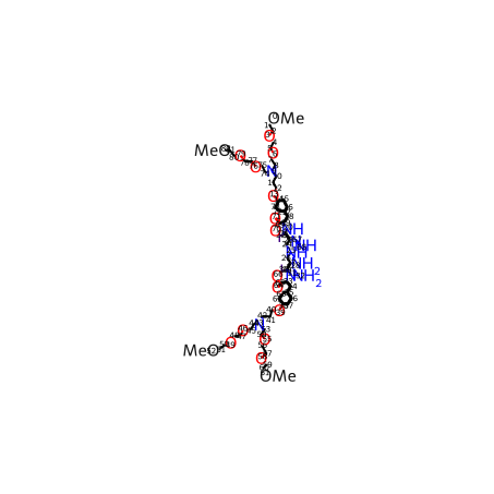 COCCOCCOCCN(CCCOc1ccc2cc(N/C(I)=C(/CNC/C(N)=C(\I)N(N)c3cc4ccc(OCCCN(CCOCCOCCOC)CCOCCOCCOC)cc4oc3=O)N=N)c(=O)oc2c1)CCOCCOCCOC